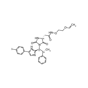 C=COCCONC(=O)C[C@H]1NC(=O)N([C@H](c2ncc(-c3ccc(I)cc3)[nH]2)[C@H](C)c2ccccc2)C1=O